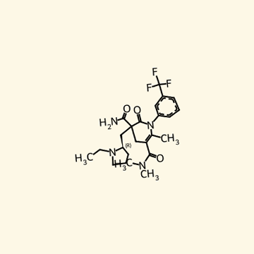 CCN1CCC[C@@H]1CC1(C(N)=O)CC(C(=O)N(C)C)=C(C)N(c2cccc(C(F)(F)F)c2)C1=O